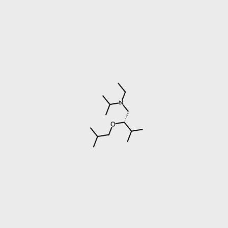 CCN(C[C@@H](OCC(C)C)C(C)C)C(C)C